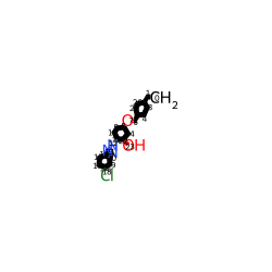 C=Cc1ccc(COc2ccc(-n3n4c5ccc(Cl)cc5n34)c(O)c2)cc1